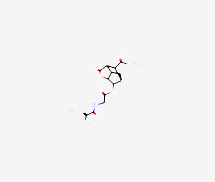 C=C(C(=O)NCC(=O)OC1C2CC3C1OC(=O)C3C2C(=O)OC)C(F)(F)F